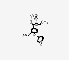 CC[C@@H](C)C(=O)c1ccc(OC2CCOC2)c(O)c1